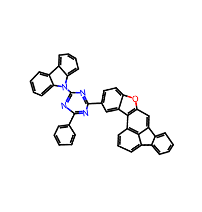 c1ccc(-c2nc(-c3ccc4oc5cc6c7c(cccc7c5c4c3)-c3ccccc3-6)nc(-n3c4ccccc4c4ccccc43)n2)cc1